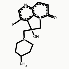 NC1CCN(C[C@@]2(O)Cn3c(=O)ccc4ncc(F)c2c43)CC1